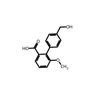 COc1cccc(C(=O)O)c1-c1ccc(CO)cc1